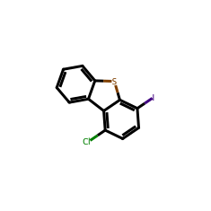 Clc1ccc(I)c2sc3ccccc3c12